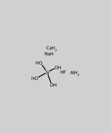 F.O[Si](O)(O)O.[AlH3].[CaH2].[NaH]